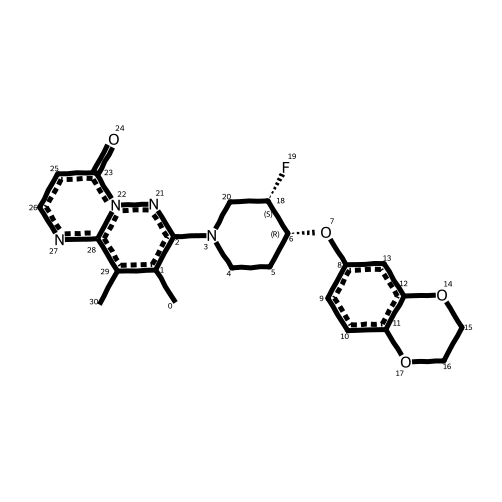 Cc1c(N2CC[C@@H](Oc3ccc4c(c3)OCCO4)[C@@H](F)C2)nn2c(=O)ccnc2c1C